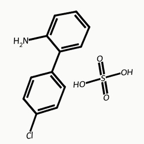 Nc1ccccc1-c1ccc(Cl)cc1.O=S(=O)(O)O